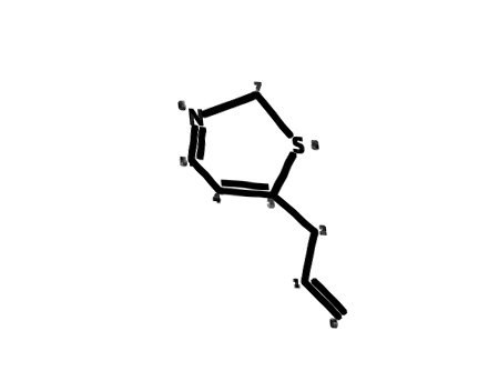 C=CCC1=C[C]=NCS1